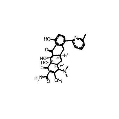 Cc1cccc(-c2ccc(O)c3c2C[C@H]2C[C@H]4C(N(C)C)C(O)=C(C(N)=O)C(=O)[C@@]4(O)C(O)=C2C3=O)n1